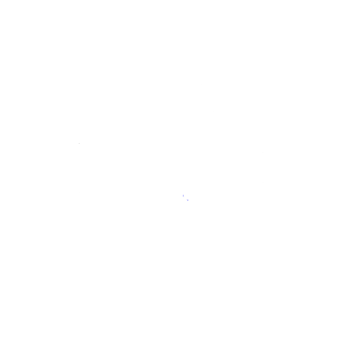 CC1(C)c2ccccc2-c2cc(N(c3cc(-c4ccccc4)cc(-c4ccccc4)c3)c3ccc4c(c3)C3(c5ccccc5-c5ccccc53)c3ccccc3-4)ccc21